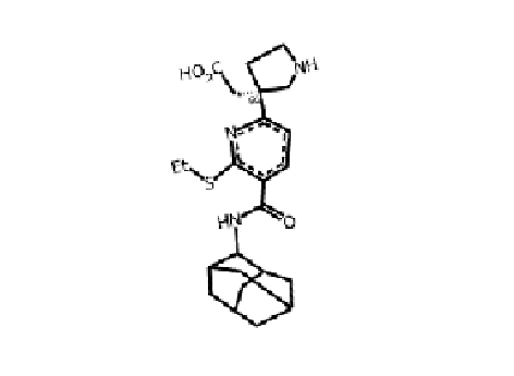 CCSc1nc([C@@]2(CC(=O)O)CCNC2)ccc1C(=O)NC1C2CC3CC(C2)CC1C3